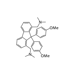 COc1ccc(C2(c3ccc(OC)cc3)c3c(CN(C)C)cccc3-c3cccc(CN(C)C)c32)cc1